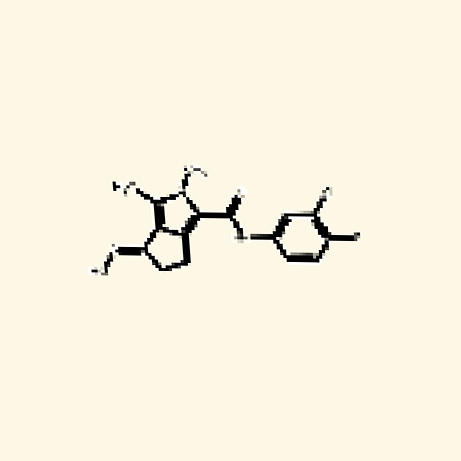 Cc1c2c(c(C(=O)Nc3ccc(F)c(Cl)c3)n1C)CCC2=NO